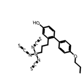 CCCOc1ccc(-c2ccc(O)cc2CCC[Si](N=C=S)(N=C=S)N=C=S)cc1